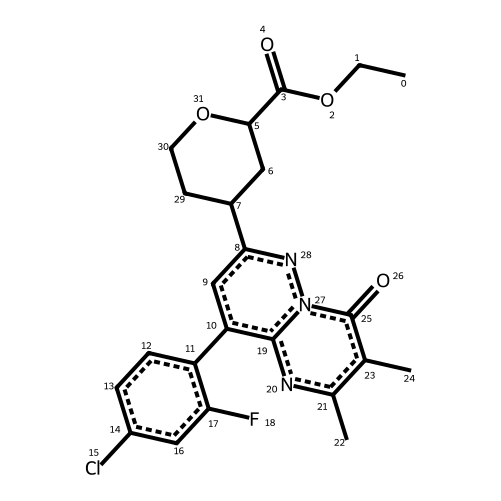 CCOC(=O)C1CC(c2cc(-c3ccc(Cl)cc3F)c3nc(C)c(C)c(=O)n3n2)CCO1